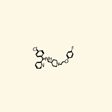 Fc1ccc(OCCN2CCC(CN[C@H](c3ccc(Cl)cc3)c3ccccn3)CC2)cc1